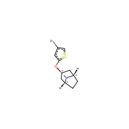 CN1[C@@H]2CC[C@H]1C[C@H](Oc1cc(Br)cs1)C2